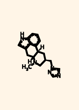 CN1C[C@H](Cn2cncn2)C[C@@H]2c3cccc4[nH]cc(c34)C[C@H]21